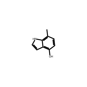 Cc1ccc(O)c2cc[nH]c12